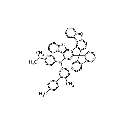 Cc1ccc(-c2cc(N(c3ccc(C(C)C)cc3)c3cc4c(c5oc6ccccc6c35)-c3c(ccc5oc6ccccc6c35)C43c4ccccc4-c4ccccc43)ccc2C)cc1